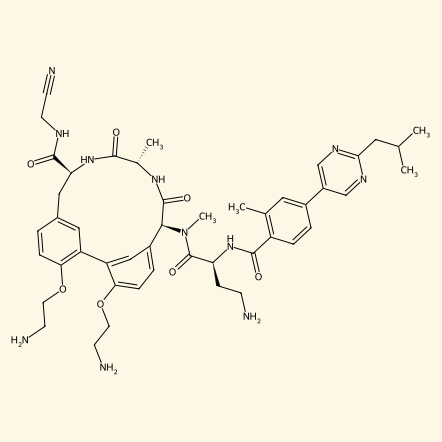 Cc1cc(-c2cnc(CC(C)C)nc2)ccc1C(=O)N[C@@H](CCN)C(=O)N(C)[C@@H]1C(=O)N[C@@H](C)C(=O)N[C@H](C(=O)NCC#N)Cc2ccc(OCCN)c(c2)-c2cc1ccc2OCCN